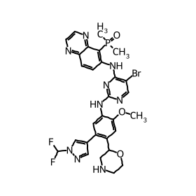 COc1cc(C2CNCCO2)c(-c2cnn(C(F)F)c2)cc1Nc1ncc(Br)c(Nc2ccc3nccnc3c2P(C)(C)=O)n1